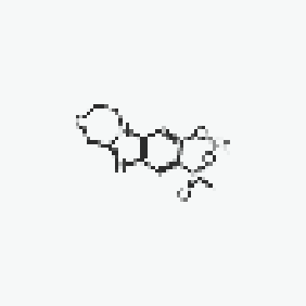 CCOc1cc2c(cc1S(C)(=O)=O)nc1n2CCOC1